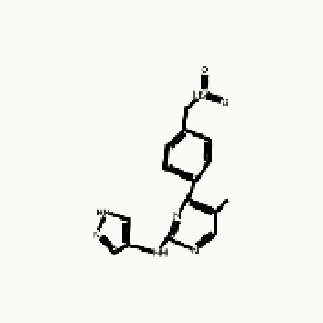 Cc1cnc(Nc2cn[nH]c2)nc1-c1ccc(C[SH](=O)=O)cc1